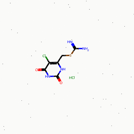 Cl.N=C(N)SCc1[nH]c(=O)[nH]c(=O)c1Cl